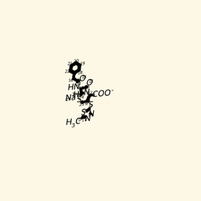 Cc1nnc(SC2=C(C(=O)[O-])N3C(=O)[C@@H](NC(=O)Cc4ccccc4)[C@@H]3SC2)s1.[Na+]